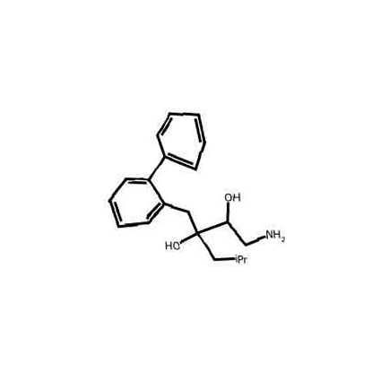 CC(C)CC(O)(Cc1ccccc1-c1ccccc1)C(O)CN